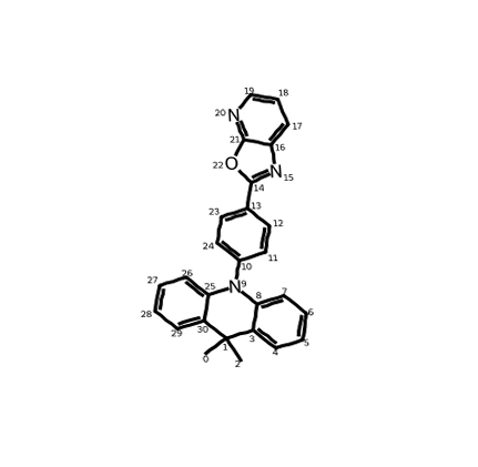 CC1(C)c2ccccc2N(c2ccc(-c3nc4cccnc4o3)cc2)c2ccccc21